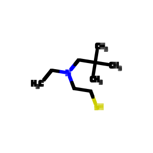 CCN(CCS)CC(C)(C)C